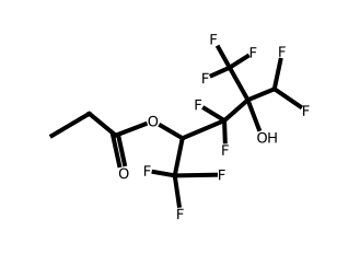 CCC(=O)OC(C(F)(F)F)C(F)(F)C(O)(C(F)F)C(F)(F)F